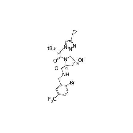 CC(C)(C)[C@@H](C(=O)N1C[C@H](O)C[C@H]1C(=O)NCc1cc(C(F)(F)F)ccc1Br)n1cc(C2CC2)nn1